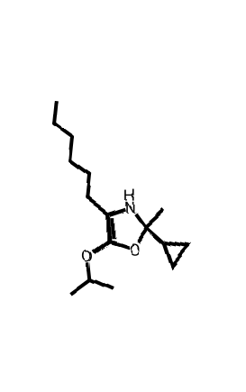 CCCCCCC1=C(OC(C)C)OC(C)(C2CC2)N1